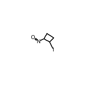 O=NC1CCC1I